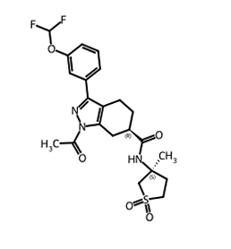 CC(=O)n1nc(-c2cccc(OC(F)F)c2)c2c1C[C@H](C(=O)N[C@@]1(C)CCS(=O)(=O)C1)CC2